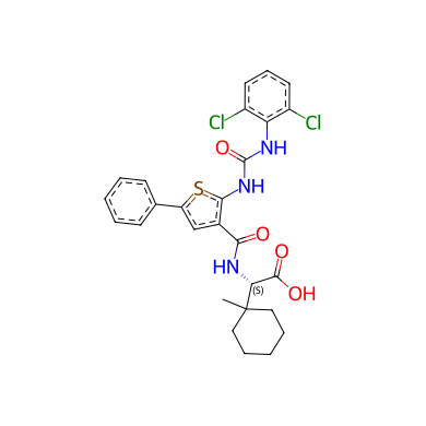 CC1([C@H](NC(=O)c2cc(-c3ccccc3)sc2NC(=O)Nc2c(Cl)cccc2Cl)C(=O)O)CCCCC1